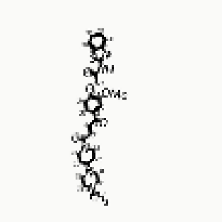 COc1cc(C(=O)C=CC(=O)N2CCC(N3CCN(C)CC3)CC2)ccc1OCC(=O)Nc1nc2ccccc2s1